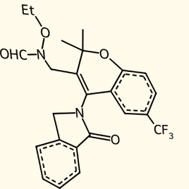 CCON(C=O)CC1=C(N2Cc3ccccc3C2=O)c2cc(C(F)(F)F)ccc2OC1(C)C